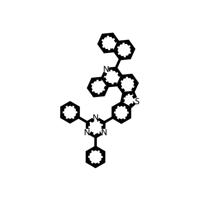 c1ccc(-c2nc(-c3ccccc3)nc(-c3ccc4sc5ccc6c(-c7cccc8ccccc78)nc7ccccc7c6c5c4c3)n2)cc1